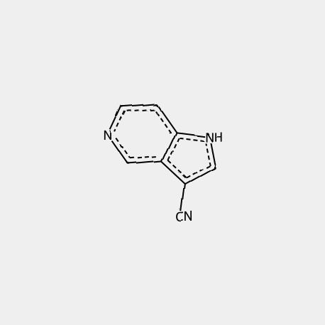 N#Cc1c[nH]c2ccncc12